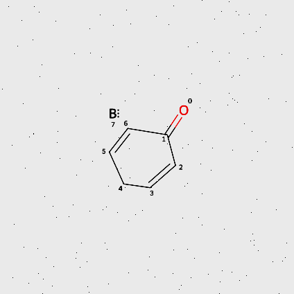 O=C1C=CCC=C1.[B]